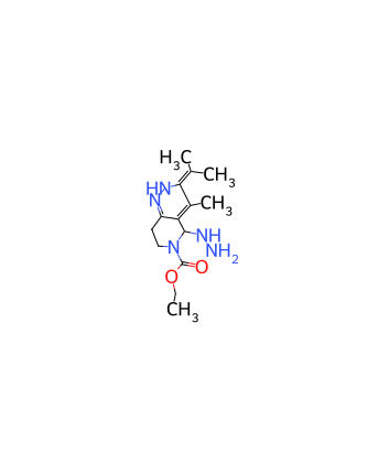 CCOC(=O)N1CCC2=NNC(=C(C)C)C(C)=C2C1NN